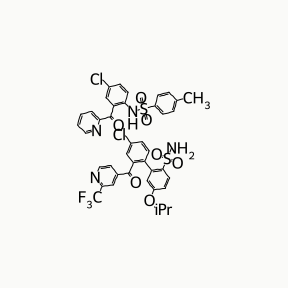 CC(C)Oc1ccc(S(N)(=O)=O)c(-c2ccc(Cl)cc2C(=O)c2ccnc(C(F)(F)F)c2)c1.Cc1ccc(S(=O)(=O)Nc2ccc(Cl)cc2C(=O)c2ccccn2)cc1